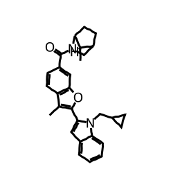 Cc1c(-c2cc3ccccc3n2CC2CC2)oc2cc(C(=O)N3CC4CCC3[C@@H]4C)ccc12